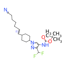 CC(C)(C)OC(=O)Nc1cn(C2CCC(/C=C/CCCCC#N)CC2)nc1C(F)F